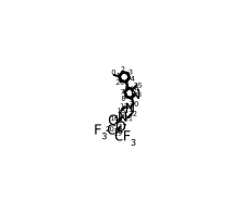 Cc1cccc(-c2ccc(CN3CCN(C(=O)OC(C(F)(F)F)C(F)(F)F)CC3)nc2C)c1